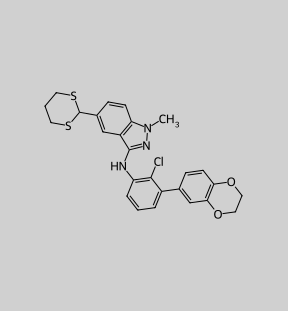 Cn1nc(Nc2cccc(-c3ccc4c(c3)OCCO4)c2Cl)c2cc(C3SCCCS3)ccc21